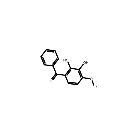 CCOc1ccc(C(=O)c2ccccc2)c(O)c1O